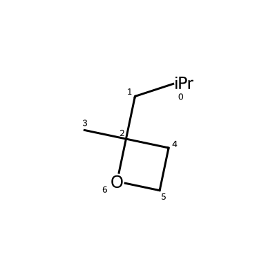 CC(C)CC1(C)CCO1